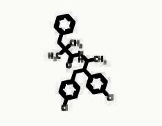 CC(NC(=O)C(C)(C)Cc1ccccc1)C(Cc1ccc(Cl)cc1)c1ccc(Cl)cc1